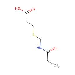 CCC(=O)NCSCCC(=O)O